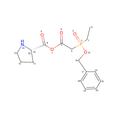 CCP(=O)(CC(=O)OC(=O)[C@@H]1CCCN1)OCc1ccccc1